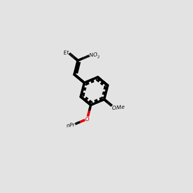 CCCOc1cc(C=C(CC)[N+](=O)[O-])ccc1OC